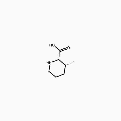 C[C@@H]1CCCN[C@@H]1C(=O)O